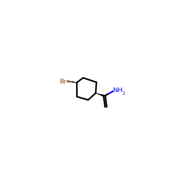 C=C(N)[C@H]1CC[C@@H](Br)CC1